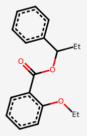 CCOc1ccccc1C(=O)OC(CC)c1ccccc1